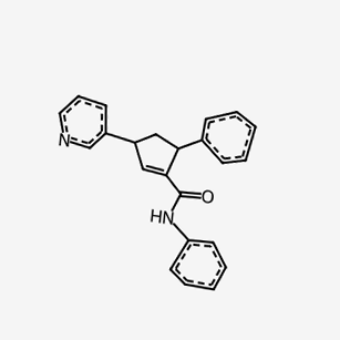 O=C(Nc1ccccc1)C1=CC(c2cccnc2)CC1c1ccccc1